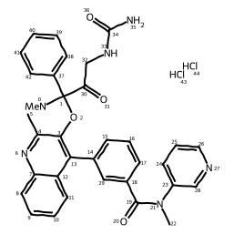 CNC(Oc1c(C)nc2ccccc2c1-c1cccc(C(=O)N(C)c2cccnc2)c1)(C(=O)CNC(N)=O)c1ccccc1.Cl.Cl